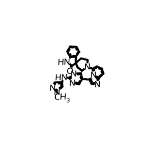 Cn1cc(Nc2ncc(-c3cnc4cccc(N5CCC6(CC5)C(=O)Nc5ccccc56)n34)cn2)cn1